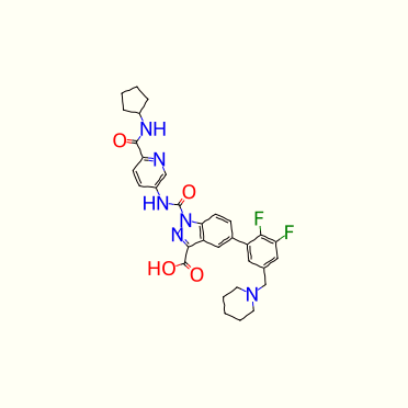 O=C(NC1CCCC1)c1ccc(NC(=O)n2nc(C(=O)O)c3cc(-c4cc(CN5CCCCC5)cc(F)c4F)ccc32)cn1